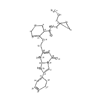 COCC1(CNC(=O)C2CCCC=C2OCC2=CC(=O)N3N=C(C4=CC=CCC4)NC3N2)CC1